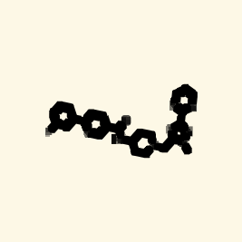 Cn1nc(-c2ncccn2)nc1CN1CCC(NC(=O)c2ccc(-c3cccc(F)c3)nc2)CC1